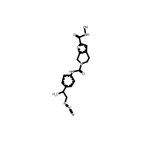 CC(CN=[N+]=[N-])c1ccc(NC(=O)N2CCc3cc(C(=O)NO)sc3C2)cc1